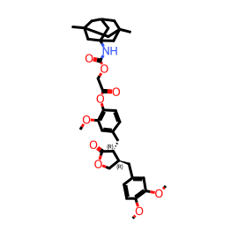 COc1ccc(C[C@H]2COC(=O)[C@@H]2Cc2ccc(OC(=O)COC(=O)NC34CC5CC(C)(CC(C)(C5)C3)C4)c(OC)c2)cc1OC